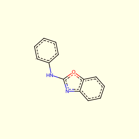 [c]1ccccc1Nc1nc2ccccc2o1